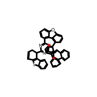 C1=Cc2sc3ccccc3c2C(c2nc(-c3ccc4ccccc4c3)nc(-c3cccc4oc5cccc(-c6cccc(-c7ccccc7)c6)c5c34)n2)C1